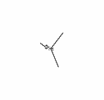 CCCCCCCCCCCCCCCCCCC(CCCCCCCCCCCCCCCCCC)(C(C)=O)C(=O)OC1CC(C)(C)N(CCCCCC)C(C)(C)C1